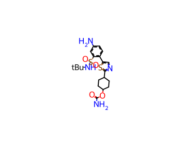 CC(C)(C)NS(=O)(=O)c1cc(N)ccc1-c1cnc(C2CCC(OC(N)=O)CC2)s1